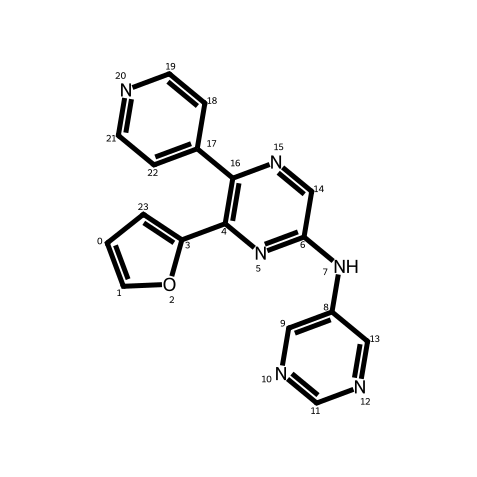 c1coc(-c2nc(Nc3cncnc3)cnc2-c2ccncc2)c1